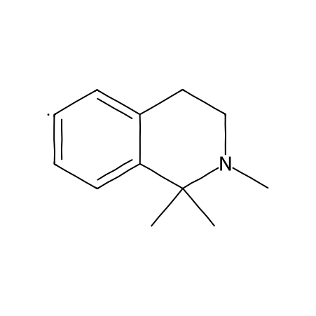 CN1CCc2c[c]ccc2C1(C)C